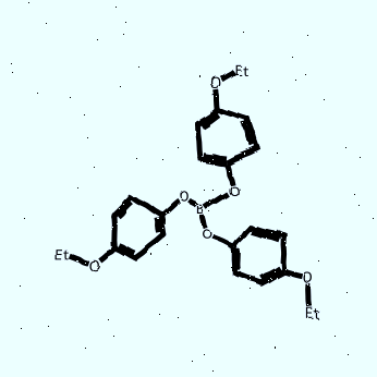 CCOc1ccc(OB(Oc2ccc(OCC)cc2)Oc2ccc(OCC)cc2)cc1